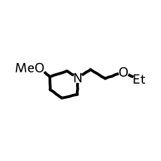 CCOCCN1CCCC(OC)C1